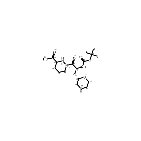 CC(C)(C)OC(=O)N[C@@H](C[C@H]1CNCCO1)C(=O)N1CCCC(C(=O)O)N1